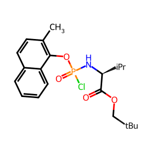 Cc1ccc2ccccc2c1OP(=O)(Cl)N[C@H](C(=O)OCC(C)(C)C)C(C)C